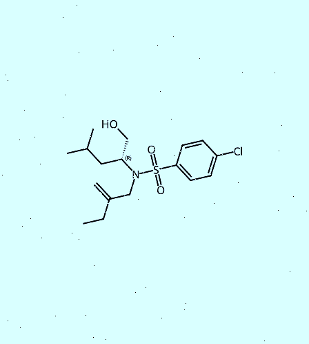 C=C(CC)CN([C@@H](CO)CC(C)C)S(=O)(=O)c1ccc(Cl)cc1